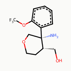 N[C@@]1(c2ccccc2OC(F)(F)F)COCC[C@H]1CO